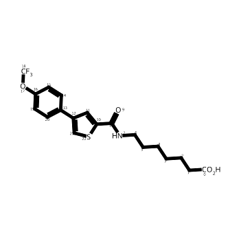 O=C(O)CCCCCCNC(=O)c1cc(-c2ccc(OC(F)(F)F)cc2)cs1